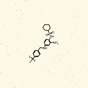 Nc1cc(NCc2ccc(C(F)(F)F)cc2)ccc1NS(=O)(=O)C1CCCCC1